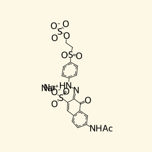 CC(=O)Nc1ccc2c(c1)C(=O)/C(=N/Nc1ccc(S(=O)(=O)CCOS(=O)(=O)[O-])cc1)C(S(=O)(=O)[O-])=C2.[Na+].[Na+]